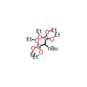 CCCC[C]([Si](OCC)(OCC)OCC)[Si](OCC)(OCC)OCC